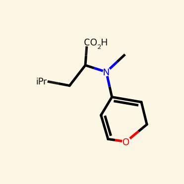 CC(C)CC(C(=O)O)N(C)C1=CCOC=C1